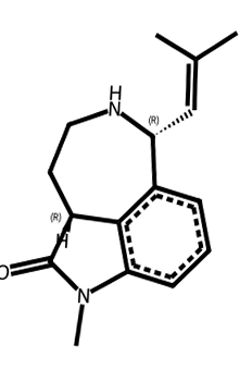 CC(C)=C[C@H]1NCC[C@H]2C(=O)N(C)c3cccc1c32